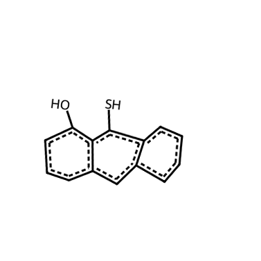 Oc1cccc2cc3ccccc3c(S)c12